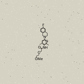 COCCOCC(=O)Nc1c(C)cc(N2CCc3cc(F)ccc3C2)nc1C